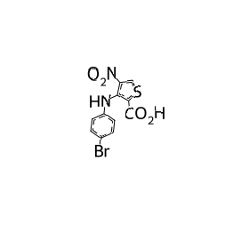 O=C(O)c1scc([N+](=O)[O-])c1Nc1ccc(Br)cc1